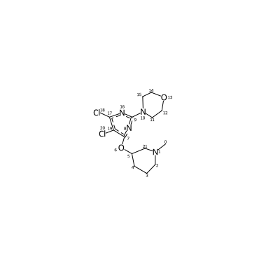 CN1CCCC(Oc2nc(N3CCOCC3)nc(Cl)c2Cl)C1